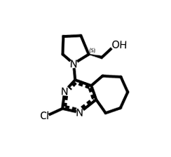 OC[C@@H]1CCCN1c1nc(Cl)nc2c1CCCCC2